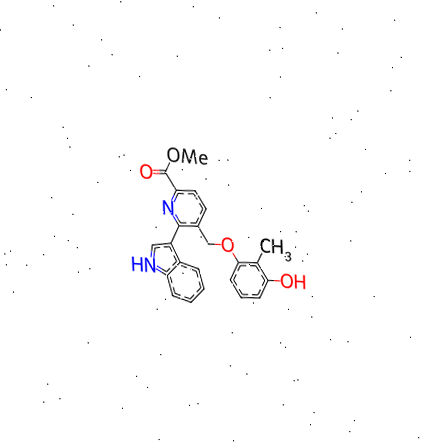 COC(=O)c1ccc(COc2cccc(O)c2C)c(-c2c[nH]c3ccccc23)n1